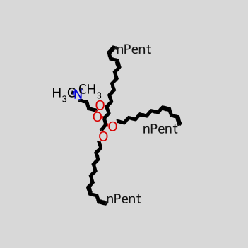 CCCCC/C=C\C/C=C\CCCCCCCCOCC(OCCCCCCCC/C=C\C/C=C\CCCCC)C(CCCCCCCC/C=C\C/C=C\CCCCC)OC(=O)CCCN(C)C